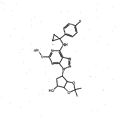 CCCSc1nc(NC2(c3ccc(F)cc3)CC2)c2nnn(C3CC(O)C4OC(C)(C)OC43)c2n1